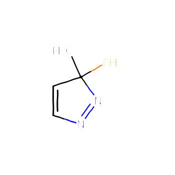 CC1(P)C=CN=N1